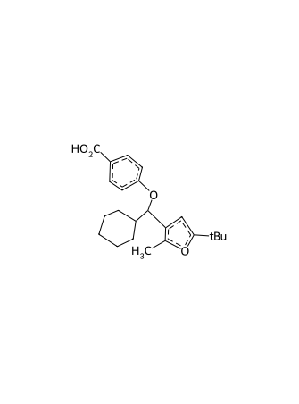 Cc1oc(C(C)(C)C)cc1C(Oc1ccc(C(=O)O)cc1)C1CCCCC1